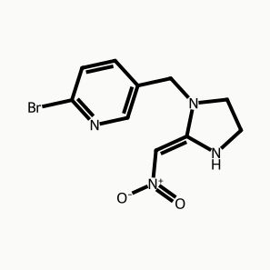 O=[N+]([O-])C=C1NCCN1Cc1ccc(Br)nc1